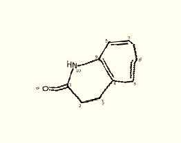 O=C1CCc2ccc[c]c2N1